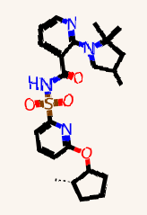 CC1CN(c2ncccc2C(=O)NS(=O)(=O)c2cccc(OC3CCC[C@@H]3C)n2)C(C)(C)C1